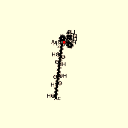 CC(=O)N(O)CCCCCNC(=O)CCC(=O)N(O)CCCCCNC(=O)CCC(=O)N(O)CCCCCN.CC(=O)Oc1ccccc1C(=O)O.OC[C@H]1OC(n2cnc3ccccc32)[C@H](OCl)[C@@H]1OCl